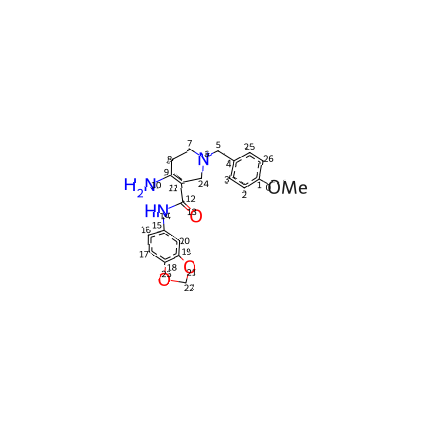 COc1ccc(CN2CCC(N)=C(C(=O)Nc3ccc4c(c3)OCO4)C2)cc1